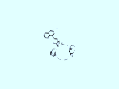 Oc1cc(-c2ncc3c4nc(nc3c2F)OC[C@]23CCCN2C[C@@H](C3)OCCOCC[C@@]23CC[C@@H](CN4C2)N3)c2c(F)cccc2c1